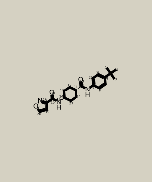 CC(C)(C)c1ccc(NC(=O)[C@H]2CC[C@@H](NC(=O)c3ccon3)CC2)cc1